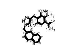 COc1c(N)c(C(N)=O)cc([N+](=O)[O-])c1Cc1cn(Cc2ccc3ccccc3c2)nn1